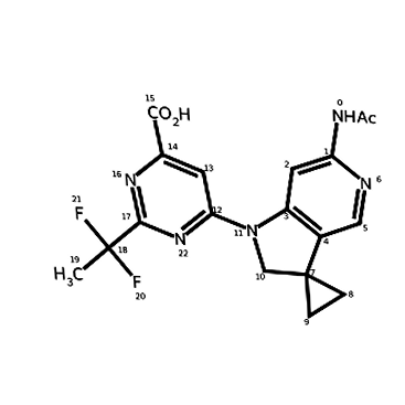 CC(=O)Nc1cc2c(cn1)C1(CC1)CN2c1cc(C(=O)O)nc(C(C)(F)F)n1